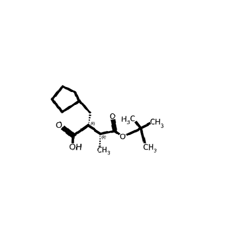 C[C@@H](C(=O)OC(C)(C)C)[C@@H](CC1CCCC1)C(=O)O